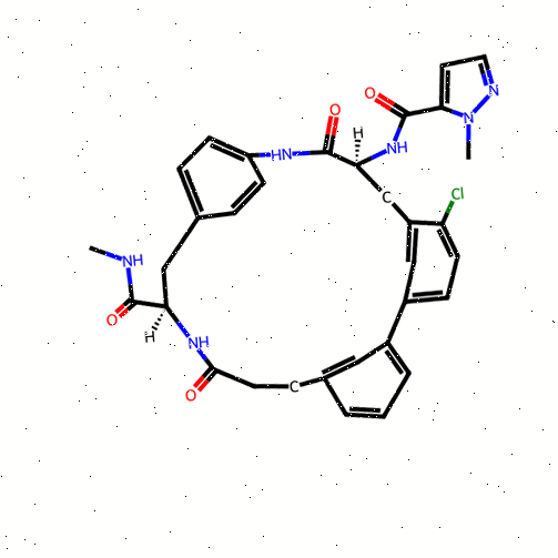 CNC(=O)[C@H]1Cc2ccc(cc2)NC(=O)[C@@H](NC(=O)c2ccnn2C)Cc2cc(ccc2Cl)-c2cccc(c2)CCC(=O)N1